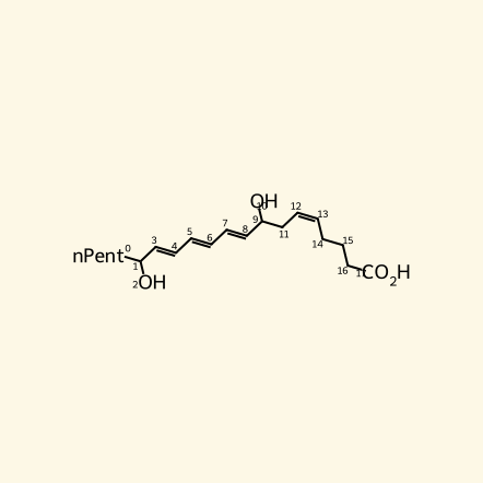 CCCCCC(O)C=CC=C/C=C/C(O)C/C=C\CCCC(=O)O